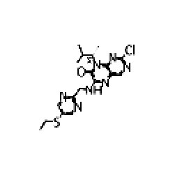 CCSc1cnc(CNc2nc3cnc(Cl)nc3n([C@@H](C)C(C)C)c2=O)nc1